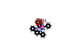 COc1ccc(-n2c3ccccc3c3ccc4c5ccccc5n(-c5nc(-c6ccccc6)nc(-c6ccccc6)n5)c4c32)cc1S(=O)(=O)O